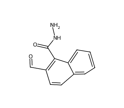 NNC(=O)c1c(C=O)ccc2ccccc12